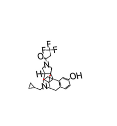 O=C(CC(F)(F)F)N1C[C@H]2CC34CCC1C2C31CCN(CC2CC2)C4Cc2ccc(O)cc21